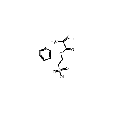 C=C(C)C(=O)OCCS(=O)(=O)O.c1ccncc1